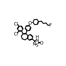 O=c1[nH]c(-c2ccc3c(c2)CCCC(c2ccc(Cl)cc2Cl)=C3c2ccc(O[C@@H]3CC=C(CCCCF)CC3)cc2)ns1